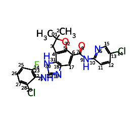 CC1(C)Cc2c(c(C(=O)Nc3ccc(Cl)cn3)cc3nc(Nc4c(F)cccc4Cl)[nH]c23)O1